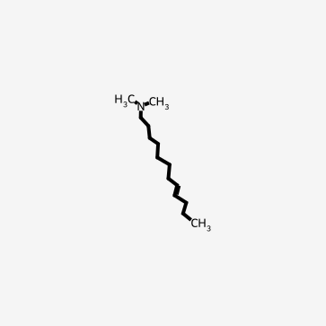 CCC/C=C/CCCCCCCN(C)C